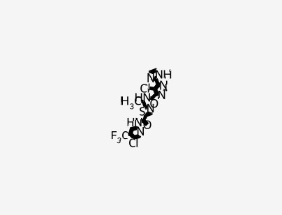 CC(NC(=O)c1ncnc(-c2ncc[nH]2)c1Cl)c1ncc(C(=O)Nc2cc(C(F)(F)F)c(Cl)cn2)s1